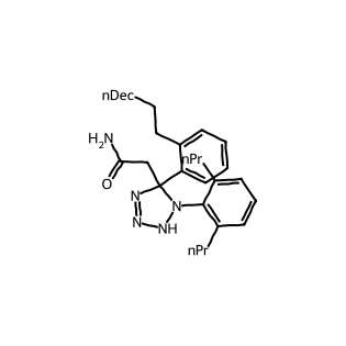 CCCCCCCCCCCCc1ccccc1C1(CC(N)=O)N=NNN1c1c(CCC)cccc1CCC